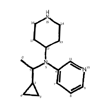 CC(C1CC1)N(c1cccnc1)C1CCNCC1